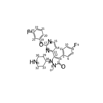 Cn1c(=O)c(-c2ccc(F)cc2)c(-c2ccnc(Oc3cccc(F)c3)n2)n1C1CCNCC1